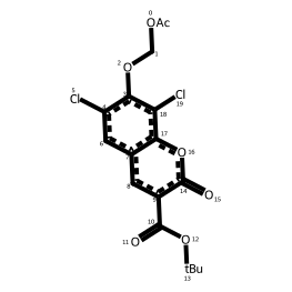 CC(=O)OCOc1c(Cl)cc2cc(C(=O)OC(C)(C)C)c(=O)oc2c1Cl